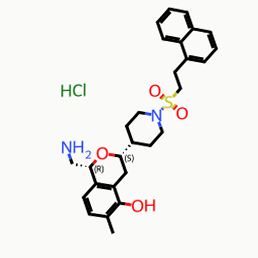 Cc1ccc2c(c1O)C[C@@H](C1CCN(S(=O)(=O)CCc3cccc4ccccc34)CC1)O[C@H]2CN.Cl